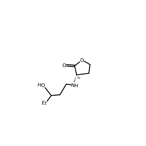 CCC(O)CCN[C@H]1CCOC1=O